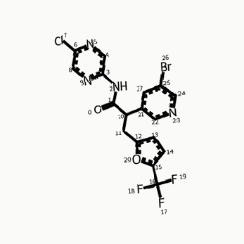 O=C(Nc1cnc(Cl)cn1)C(Cc1ccc(C(F)(F)F)o1)c1cncc(Br)c1